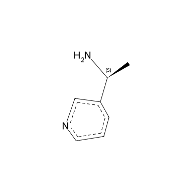 C[C@H](N)c1cccnc1